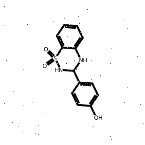 O=S1(=O)NC(c2ccc(O)cc2)Nc2ccccc21